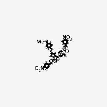 COc1ccc(CS[C@H]2C[C@@H](C(=O)N3CCN(C(=O)OCc4ccc([N+](=O)[O-])cc4)C(C)C3)N(C(=O)OCc3ccc([N+](=O)[O-])cc3)C2)cc1